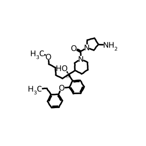 CCc1ccccc1Oc1ccccc1[C@](O)(CCCCOC)C1CCCN(C(=O)N2CCC(N)C2)C1